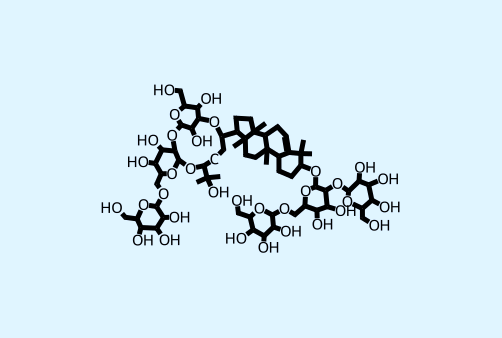 CC(C)(O)C1CCC(C2CCC3(C)C4CC=C5C(CCC(OC6OC(COC7OC(CO)C(O)C(O)C7O)C(O)C(O)C6OC6OC(CO)C(O)C(O)C6O)C5(C)C)C4(C)CCC23C)OC2C(O)C(CO)OC(OC3C(OC(COC4OC(CO)C(O)C(O)C4O)C(O)C3O)O1)C2O